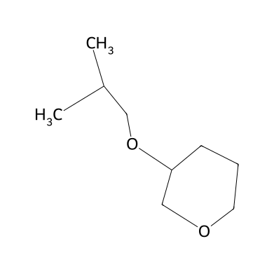 CC(C)COC1CCCOC1